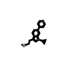 NCCc1cn(C2CC2)c2cc(-c3ccncc3)ccc12